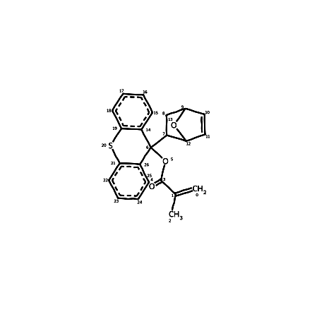 C=C(C)C(=O)OC1(C2CC3C=CC2O3)c2ccccc2Sc2ccccc21